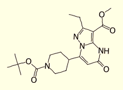 CCc1nn2c(C3CCN(C(=O)OC(C)(C)C)CC3)cc(=O)[nH]c2c1C(=O)OC